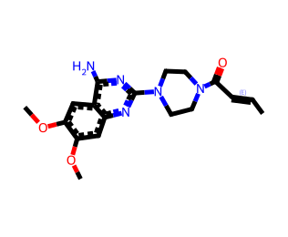 C/C=C/C(=O)N1CCN(c2nc(N)c3cc(OC)c(OC)cc3n2)CC1